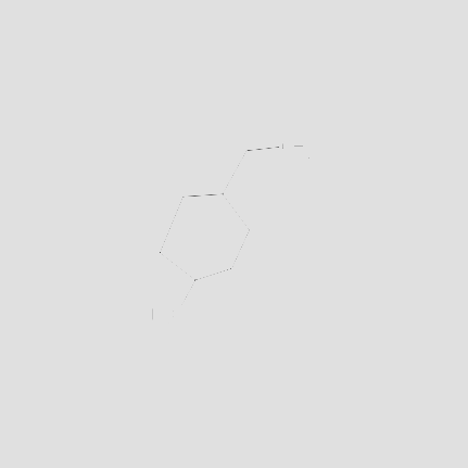 [CH2]CC1CCC(C)CC1